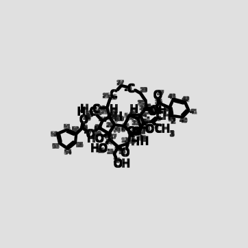 C=C(C)[C@]12C[C@@H]3[C@@]45OC6(O[C@@H]1[C@@H]4C1O[C@]1(CO)[C@@H](O)[C@@]1(O)[C@H]5[C@@H](C(C)CCCCCC[C@@H](O)[C@]36COC(=O)c3ccccc3)C(C)[C@@H]1OC(=O)c1ccccc1)O2